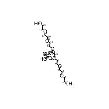 CCCOCCOCCOCCOCCOCCOCCO.O=S(=O)(O)O